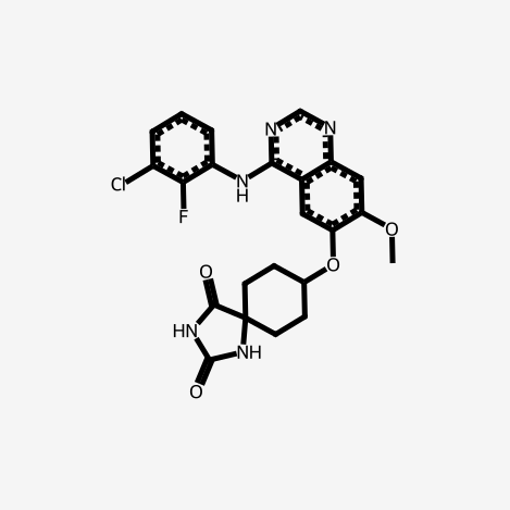 COc1cc2ncnc(Nc3cccc(Cl)c3F)c2cc1OC1CCC2(CC1)NC(=O)NC2=O